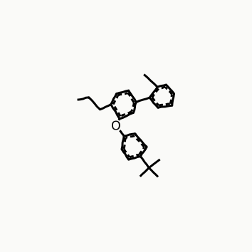 CCCc1ccc(-c2ccccc2C)cc1Oc1ccc(C(C)(C)C)cc1